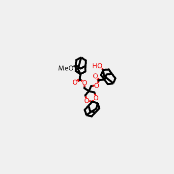 COC12CC3CC(C1)CC(C(=O)OCC1(COC(=O)C45CC6CC(CC(O)(C6)C4)C5)COC4(OC1)C1CC5CC(C1)CC4C5)(C3)C2